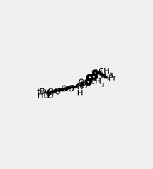 CC(C)CCC[C@@H](C)C1CCC2C3CC=C4C[C@@H](OC(=O)NCCCOCCOCCOCCOP(=O)(O)C(C)(C)C)CC[C@]4(C)C3CC[C@@]21C